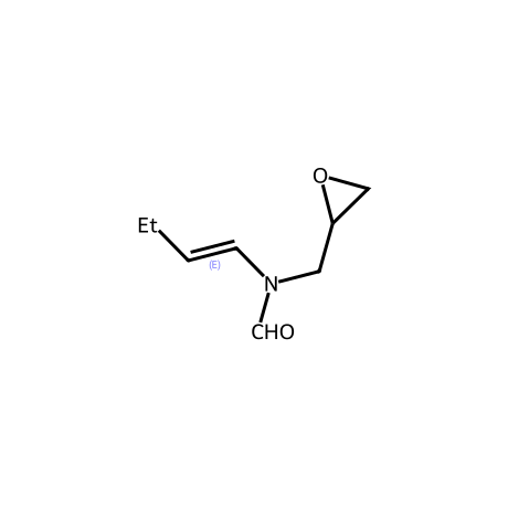 CC/C=C/N(C=O)CC1CO1